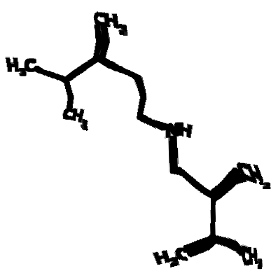 C=C(C)C(=C)CNCCC(=C)C(C)C